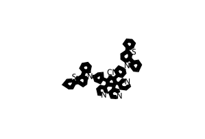 N#Cc1c(-c2ccc(-n3c4ccccc4c4c5sc6ccccc6c5ccc43)cc2)c(-c2cccnc2)c(-c2cccnc2)c(-c2cccnc2)c1-c1ccc(-n2c3ccccc3c3c4sc5ccccc5c4ccc32)cc1